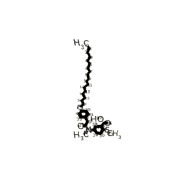 CCCCCCCCCCCCCCCCCCOc1ccc(CC(=O)N(C)c2ccc(SC)c(C(=O)O)c2)cc1